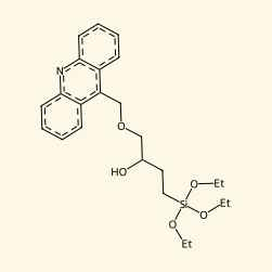 CCO[Si](CCC(O)COCc1c2ccccc2nc2ccccc12)(OCC)OCC